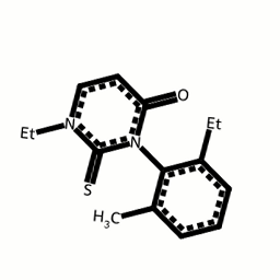 CCc1cccc(C)c1-n1c(=O)ccn(CC)c1=S